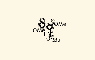 COC(=O)c1cc(CNC(=O)OC(C)(C)C)cc(-c2cc(C(C)C)ccc2OC)c1